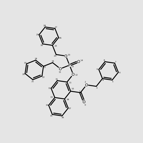 O=C(OCc1ccccc1)c1c(OP(=O)(OCc2ccccc2)OCc2ccccc2)ccc2ccccc12